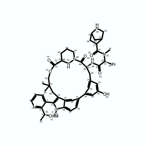 CCn1c(-c2cccnc2[C@H](C)OC)c2c3cc(ccc31)-c1cc(O)cc(c1)C[C@H](NC(=O)[C@H](C(C)C)N(C)C(=O)C1CC3CC1CN3)C(=O)N1CCC[C@@](C)(N1)C(=O)OCC(C)(C)C2